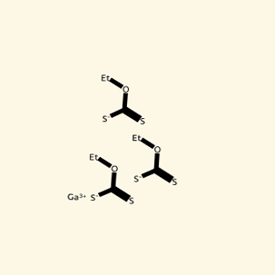 CCOC(=S)[S-].CCOC(=S)[S-].CCOC(=S)[S-].[Ga+3]